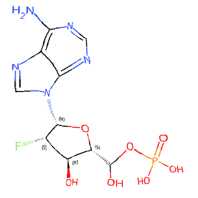 Nc1ncnc2c1ncn2[C@@H]1O[C@H](C(O)OP(=O)(O)O)[C@@H](O)[C@@H]1F